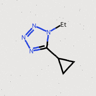 CCn1nnnc1C1CC1